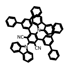 N#Cc1c(-c2cc(-c3ccccc3)cc(-c3ccccc3)c2)c(-n2c3ccccc3c3ccccc32)c(-c2cc(-c3ccccc3)cc(-c3ccccc3)c2)c(C#N)c1-n1c2ccccc2c2ccccc21